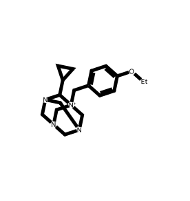 CCOc1ccc(C[N+]23CN4CN(CN(C4)C2C2CC2)C3)cc1